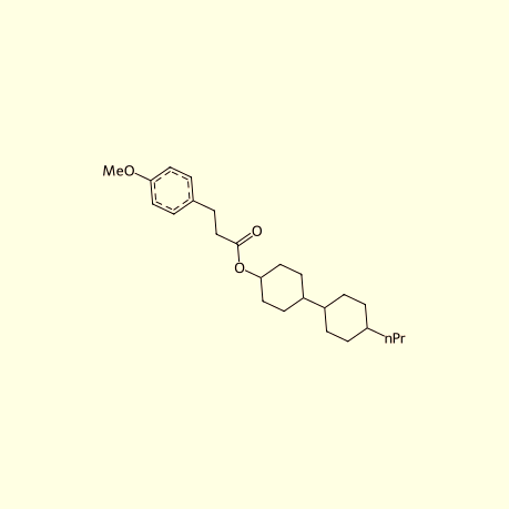 CCCC1CCC(C2CCC(OC(=O)CCc3ccc(OC)cc3)CC2)CC1